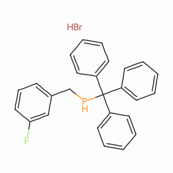 Br.Fc1cccc(CPC(c2ccccc2)(c2ccccc2)c2ccccc2)c1